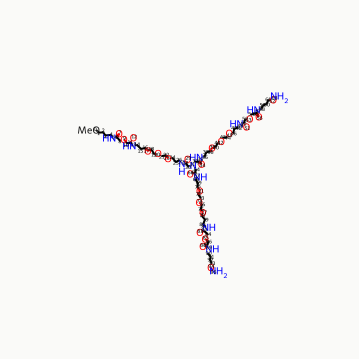 COCCCCNC(=O)COCC(=O)NCCCOCCOCCOCCCNC(=O)CN(CC(=O)NCCCOCCOCCOCCCNC(=O)COCC(=O)NCCCCON)CC(=O)NCCCOCCOCCOCCCNC(=O)COCC(=O)NCCCCON